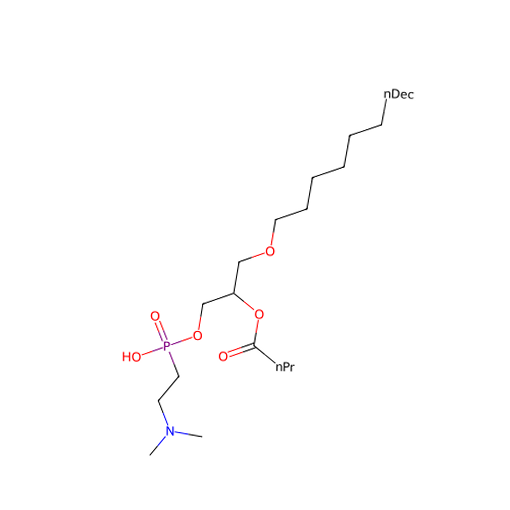 CCCCCCCCCCCCCCCCOCC(COP(=O)(O)CCN(C)C)OC(=O)CCC